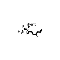 C=CC[C@@H](C)CCC(C)[SH](CC(C)CCC)[C@H](N)F